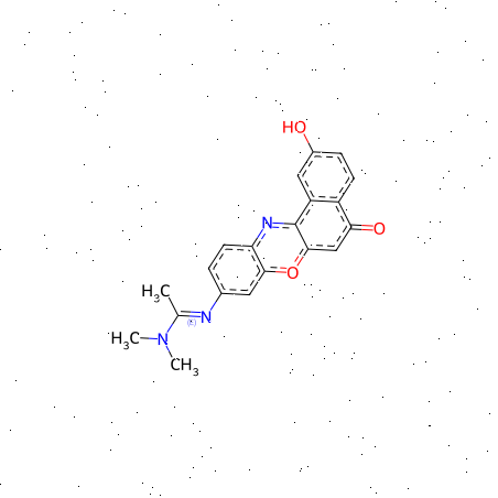 C/C(=N\c1ccc2nc3c4cc(O)ccc4c(=O)cc-3oc2c1)N(C)C